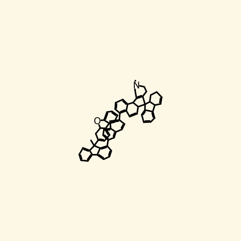 CN1CCC2=C(C1)C1c3cccc(-c4ccc5cc(-c6cccc7c6C(C)(C6=CC=C8c9ccccc9OC8C6)c6ccccc6-7)ccc5c4)c3C=CC1C21c2ccccc2C2C=CCCC21